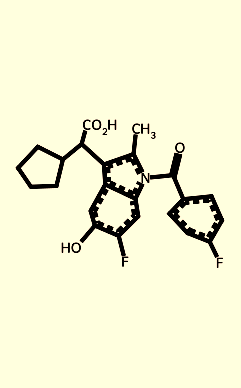 Cc1c(C(C(=O)O)C2CCCC2)c2cc(O)c(F)cc2n1C(=O)c1ccc(F)cc1